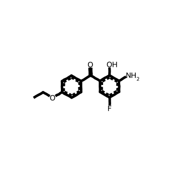 CCOc1ccc(C(=O)c2cc(F)cc(N)c2O)cc1